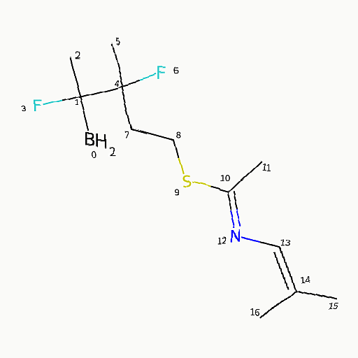 BC(C)(F)C(C)(F)CCS/C(C)=N/C=C(C)C